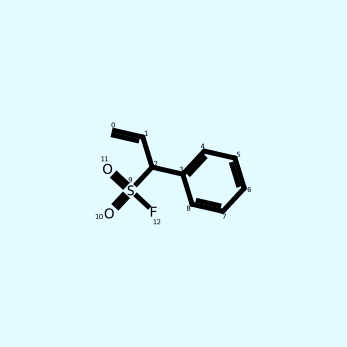 C=CC(c1ccccc1)S(=O)(=O)F